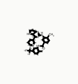 Cc1ccc(C(=O)Nc2cc(C(F)(F)F)ccc2F)cc1Nc1nc(-c2cccnc2)c2[nH]ccc2n1